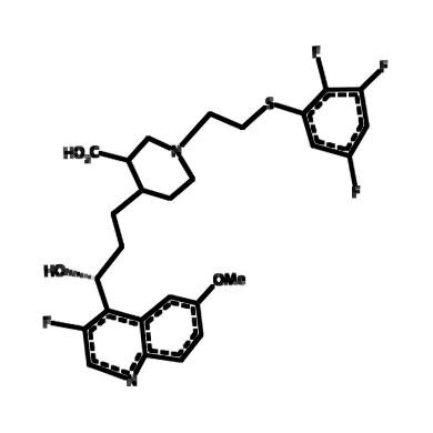 COc1ccc2ncc(F)c([C@H](O)CCC3CCN(CCSc4cc(F)cc(F)c4F)CC3C(=O)O)c2c1